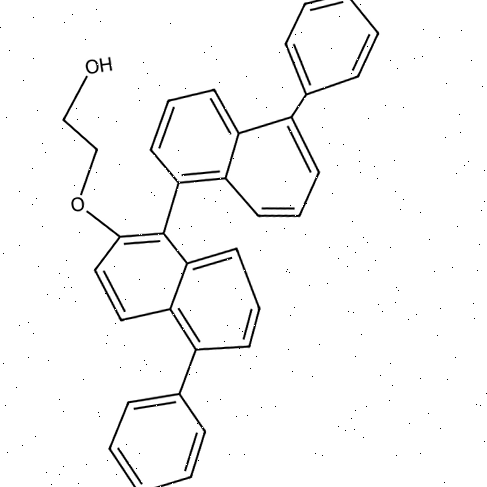 OCCOc1ccc2c(-c3ccccc3)cccc2c1-c1cccc2c(-c3ccccc3)cccc12